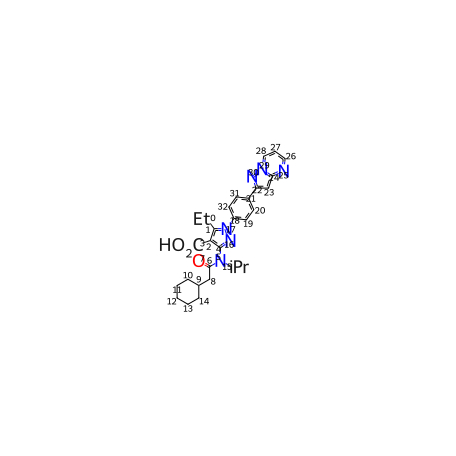 CCc1c(C(=O)O)c(N(C(=O)CC2CCCCC2)C(C)C)nn1-c1ccc(-c2cc3ncccn3n2)cc1